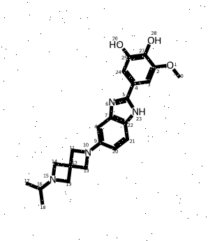 COc1cc(-c2nc3cc(N4CC5(C4)CN(C(C)C)C5)ccc3[nH]2)cc(O)c1O